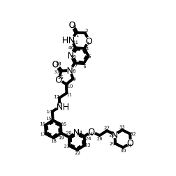 O=C1COc2ccc(N3CC(CCNCc4cccc(-c5cccc(OCCN6CCOCC6)n5)c4)OC3=O)nc2N1